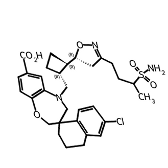 CC(CCC1=NO[C@@H]([C@@H]2CC[C@H]2CN2CC3(CCCc4cc(Cl)ccc43)COc3ccc(C(=O)O)cc32)C1)S(N)(=O)=O